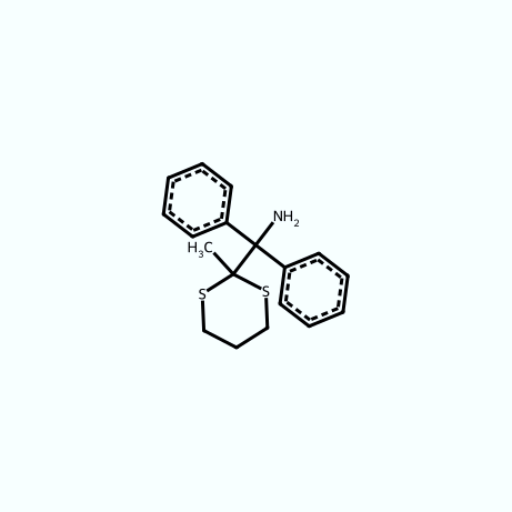 CC1(C(N)(c2ccccc2)c2ccccc2)SCCCS1